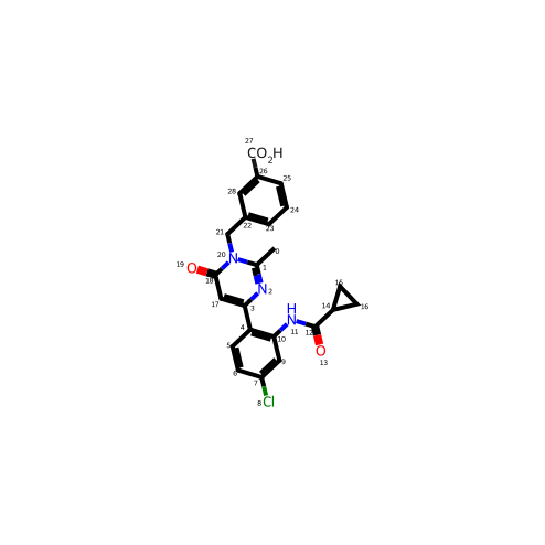 Cc1nc(-c2ccc(Cl)cc2NC(=O)C2CC2)cc(=O)n1Cc1cccc(C(=O)O)c1